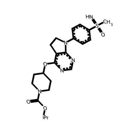 CC(C)OC(=O)N1CCC(Oc2ncnc3c2CCN3c2ccc(S(C)(=N)=O)cc2)CC1